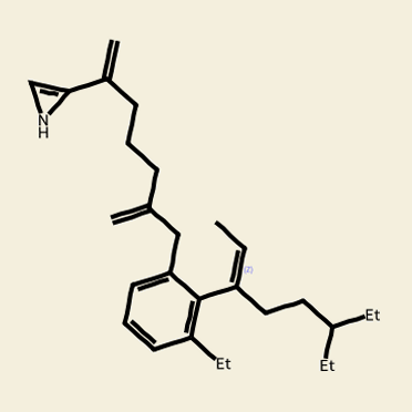 C=C(CCCC(=C)C1=CN1)Cc1cccc(CC)c1/C(=C\C)CCC(CC)CC